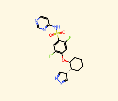 O=S(=O)(Nc1ccncn1)c1cc(F)c(O[C@H]2CCCC[C@@H]2C2C=NN=C2)cc1F